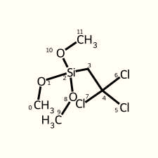 CO[Si](CC(Cl)(Cl)Cl)(OC)OC